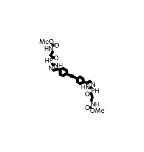 COC(=O)NCCC(=O)Pc1ncc(-c2ccc(C#Cc3ccc(-c4cnc(PC(=O)CCNC(=O)OC)[nH]4)cc3)cc2)[nH]1